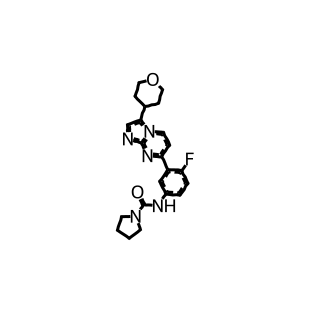 O=C(Nc1ccc(F)c(-c2ccn3c(C4CCOCC4)cnc3n2)c1)N1CCCC1